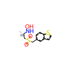 C[C@@H](CS(=O)(=O)Cc1ccc2sccc2c1)NO